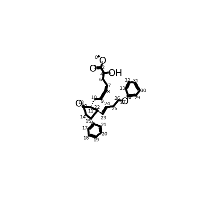 COC(=O)C(O)CC=C=CC[C@H]1C(=O)C[C@@H](c2ccccc2)[C@@H]1/C=C/CCOc1ccccc1